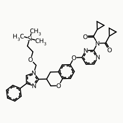 C[Si](C)(C)CCOCn1cc(-c2ccccc2)nc1C1COc2ccc(Oc3ccnc(N(C(=O)C4CC4)C(=O)C4CC4)n3)cc2C1